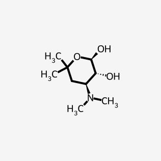 CN(C)[C@H]1CC(C)(C)O[C@@H](O)[C@@H]1O